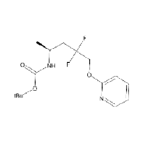 C[C@@H](CC(F)(F)COc1ccccn1)NC(=O)OC(C)(C)C